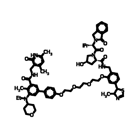 CCN(c1cc(-c2ccc(OCCOCCOCCOc3cc(C4SC=NC4C)ccc3CNC(=O)[C@@H]3C[C@@H](O)CN3C(=O)[C@H](C(C)C)N3Cc4ccccc4C3=O)cc2)cc(C(=O)NCc2c(C)cc(C)[nH]c2=O)c1C)C1CCOCC1